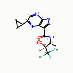 C[C@H](NC(=O)c1c[nH]c2ncc(C3CC3)nc12)[C@](C)(O)C(F)(F)F